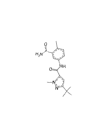 Cc1ccc(NC(=O)c2cc(C(C)(C)C)nn2C)cc1C(N)=O